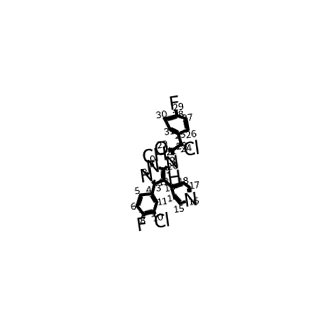 Cn1nc(-c2ccc(F)c(Cl)c2)c(-c2ccncc2)c1NC(=O)C(Cl)c1ccc(F)cc1